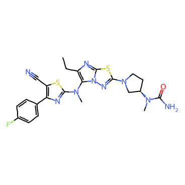 CCc1nc2sc(N3CC[C@@H](N(C)C(N)=O)C3)nn2c1N(C)c1nc(-c2ccc(F)cc2)c(C#N)s1